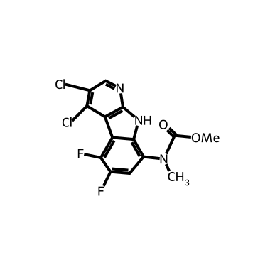 COC(=O)N(C)c1cc(F)c(F)c2c1[nH]c1ncc(Cl)c(Cl)c12